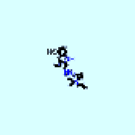 C=CCN(C1CCC1)C(C)C(C)/N=N\N(C)CCC(Nc1cccc(C#N)c1)/C(C)=C/C